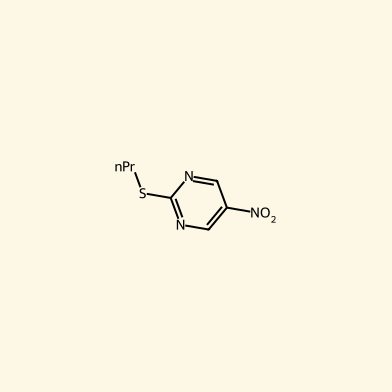 CCCSc1ncc([N+](=O)[O-])cn1